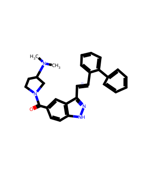 CN(C)C1CCN(C(=O)c2ccc3[nH]nc(/C=C/c4ccccc4-c4ccccc4)c3c2)C1